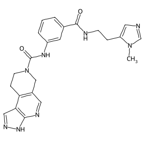 Cn1cncc1CCNC(=O)c1cccc(NC(=O)N2CCc3c(cnc4[nH]ncc34)C2)c1